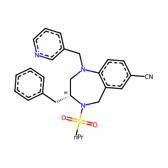 CCCS(=O)(=O)N1Cc2cc(C#N)ccc2N(Cc2cccnc2)C[C@H]1Cc1ccccc1